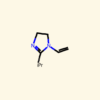 C=CN1CCN=C1C(C)C